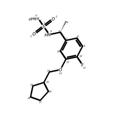 CCCCCCS(=O)(=O)N[C@H](C)c1ccc(F)c(OCC2CCCC2)c1